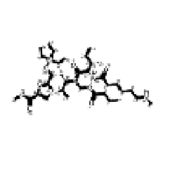 CCCC(=O)OCN(C(=O)[C@@H](NC(=O)CCCCCNC)[C@@H](C)CC)[C@H](C[C@@H](O[Si](CC)(CC)CC)c1nc(C(=O)OC)cs1)C(C)C